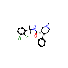 CN1CC[C@@H](c2ccccc2)[C@H](C(=O)NC(C)(C)c2cccc(Cl)c2Cl)C1